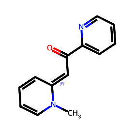 CN1C=CC=C/C1=C\C(=O)c1ccccn1